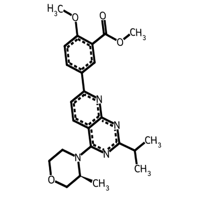 COC(=O)c1cc(-c2ccc3c(N4CCOC[C@@H]4C)nc(C(C)C)nc3n2)ccc1OC